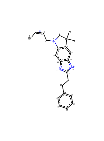 CC/C=C\CN1CC(C)(C)c2cc3[nH]c(CCc4ccccc4)nc3cc21